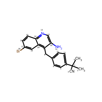 CC(C)(C#N)c1ccc(Cc2c(N)cnc3ccc(Br)cc23)cc1